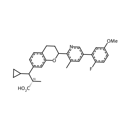 COc1ccc(F)c(-c2cnc(C3CCc4ccc(C(C5CC5)[C@H](C)C(=O)O)cc4O3)c(C)c2)c1